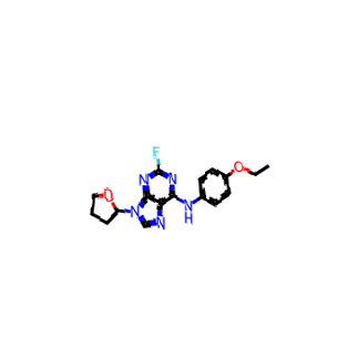 CCOc1ccc(Nc2nc(F)nc3c2ncn3C2CCCO2)cc1